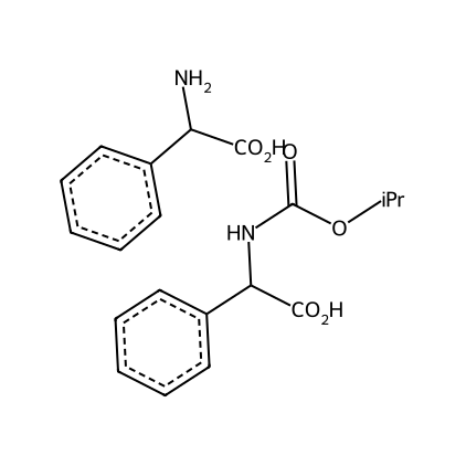 CC(C)OC(=O)NC(C(=O)O)c1ccccc1.NC(C(=O)O)c1ccccc1